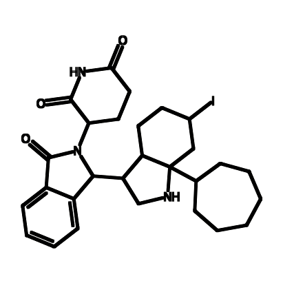 O=C1CCC(N2C(=O)c3ccccc3C2C2CNC3(C4CCCCCC4)CC(I)CCC23)C(=O)N1